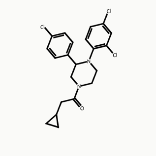 O=C(CC1CC1)N1CCN(c2ccc(Cl)cc2Cl)C(c2ccc(Cl)cc2)C1